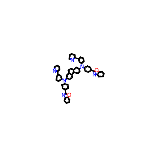 c1ccc(-c2cccc(N(c3ccc(-c4nc5ccccc5o4)cc3)c3ccc4c(ccc5cc(N(c6ccc(-c7nc8ccccc8o7)cc6)c6cccc(-c7ccccn7)c6)ccc54)c3)c2)nc1